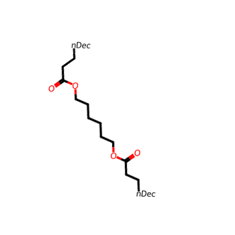 CCCCCCCCCCCCC(=O)OCCCCCCOC(=O)CCCCCCCCCCCC